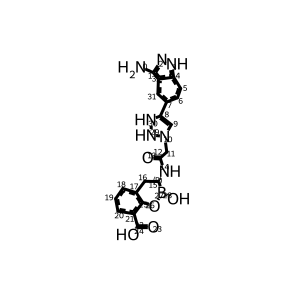 Nc1n[nH]c2ccc(C3=CN(CC(=O)N[C@H]4Cc5cccc(C(=O)O)c5OB4O)NN3)cc12